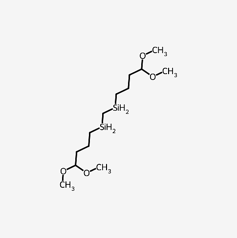 COC(CCC[SiH2]C[SiH2]CCCC(OC)OC)OC